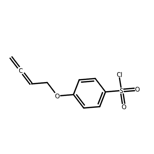 C=C=CCOc1ccc(S(=O)(=O)Cl)cc1